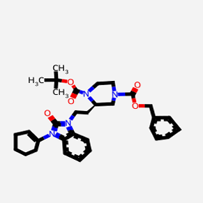 CC(C)(C)OC(=O)N1CCN(C(=O)OCc2ccccc2)C[C@H]1CCn1c(=O)n(C2=CCCCC2)c2ccccc21